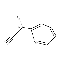 C#C[C@H](C)c1ccccn1